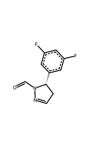 O=CN1N=CC[C@H]1c1cc(F)cc(F)c1